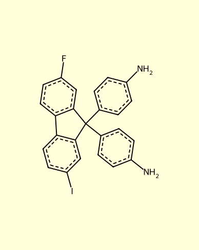 Nc1ccc(C2(c3ccc(N)cc3)c3cc(F)ccc3-c3ccc(I)cc32)cc1